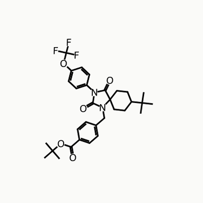 CC(C)(C)OC(=O)c1ccc(CN2C(=O)N(c3ccc(OC(F)(F)F)cc3)C(=O)C23CCC(C(C)(C)C)CC3)cc1